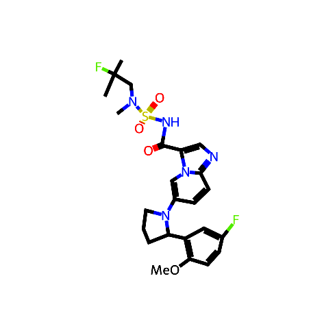 COc1ccc(F)cc1C1CCCN1c1ccc2ncc(C(=O)NS(=O)(=O)N(C)CC(C)(C)F)n2c1